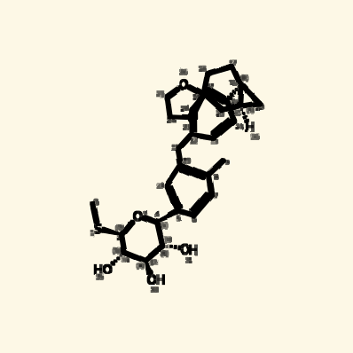 CS[C@H]1O[C@@H](c2ccc(C)c(Cc3ccc([C@@]45CCC6(C[C@@H]4C5)OCCO6)cc3)c2)[C@H](O)[C@@H](O)[C@@H]1O